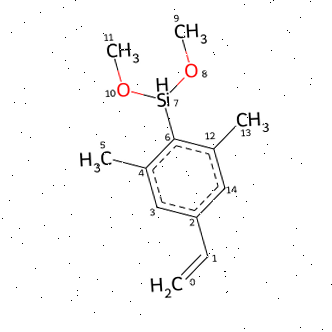 C=Cc1cc(C)c([SiH](OC)OC)c(C)c1